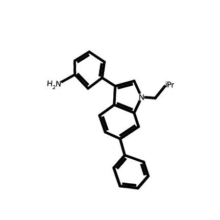 CC(C)Cn1cc(-c2cccc(N)c2)c2ccc(-c3ccccc3)cc21